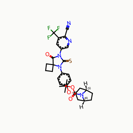 CC(C)(C)OC(=O)N1[C@@H]2CC[C@H]1C[C@@H](Oc1ccc(N3C(=S)N(c4cnc(C#N)c(C(F)(F)F)c4)C(=O)C34CCC4)cc1)C2